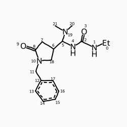 CCNC(=O)NC(C1CC(=O)N(Cc2ccccc2)C1)N(C)C